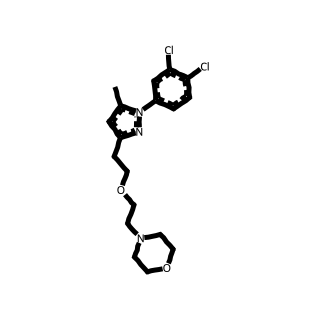 Cc1cc(CCOCCN2CCOCC2)nn1-c1ccc(Cl)c(Cl)c1